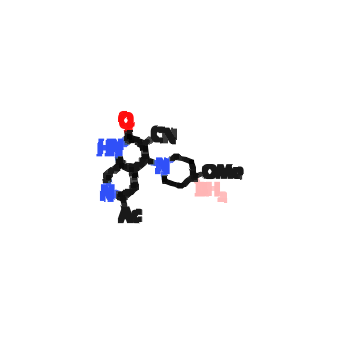 BC1(OC)CCN(c2c(C#N)c(=O)[nH]c3cnc(C(C)=O)cc23)CC1